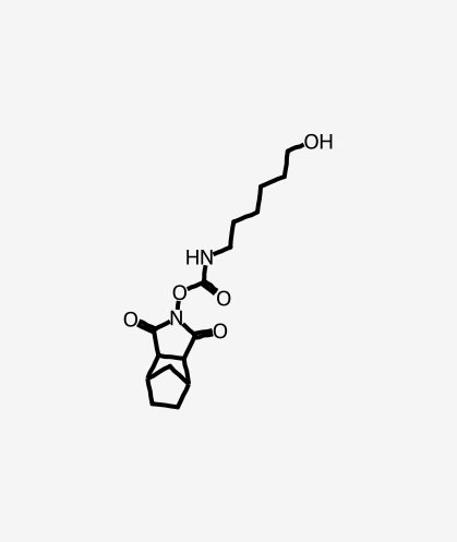 O=C(NCCCCCCO)ON1C(=O)C2C3CCC(C3)C2C1=O